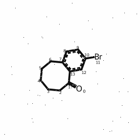 O=C1CCCCCc2ccc(Br)cc21